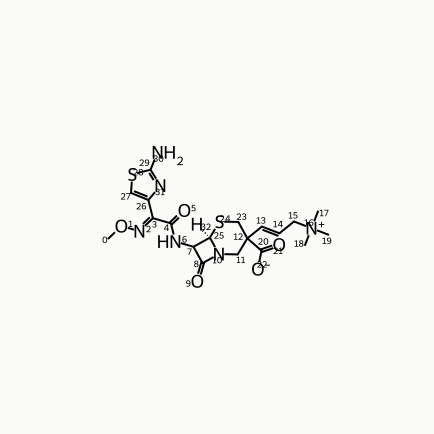 CON=C(C(=O)NC1C(=O)N2CC(C=CC[N+](C)(C)C)(C(=O)[O-])CS[C@H]12)c1csc(N)n1